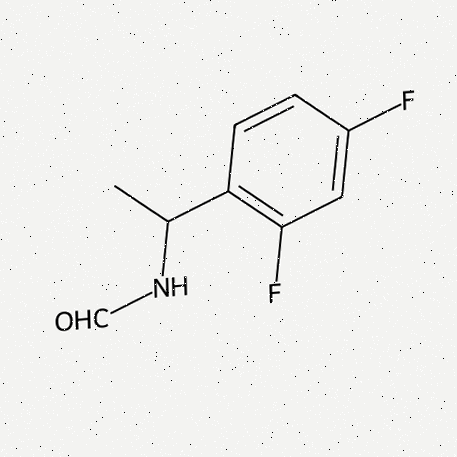 CC(NC=O)c1ccc(F)cc1F